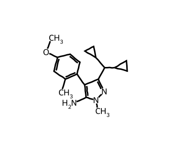 COc1ccc(-c2c(C(C3CC3)C3CC3)nn(C)c2N)c(C)c1